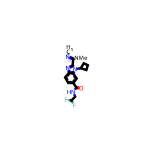 C/N=C(\NC)c1nc2ccc(C(=O)NCC(F)F)cc2n1C1CCC1